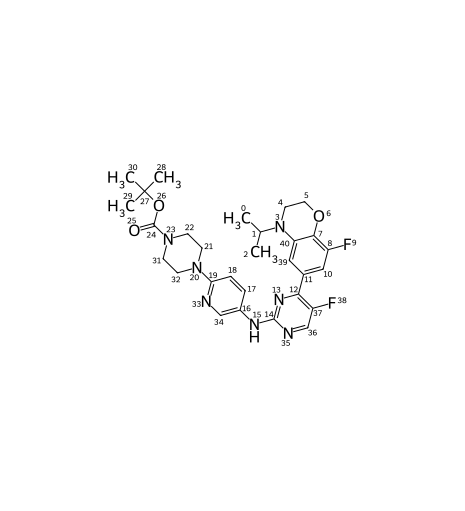 CC(C)N1CCOc2c(F)cc(-c3nc(Nc4ccc(N5CCN(C(=O)OC(C)(C)C)CC5)nc4)ncc3F)cc21